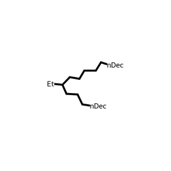 [CH2]CC(CCCCCCCCCCCCC)CCCCCCCCCCCCCCC